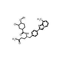 Cc1cccn2cc(-c3ccc(C[C@@H](CCC(N)=O)NC(=O)C4CCC(OC(C)C)C(Cl)C4)cc3)nc12